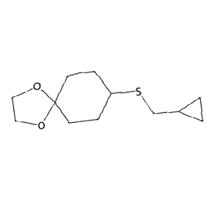 C1COC2(CCC(SCC3CC3)CC2)O1